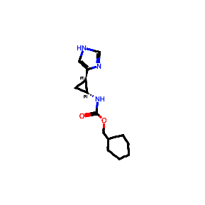 O=C(N[C@@H]1C[C@H]1c1c[nH]cn1)OCC1CCCCC1